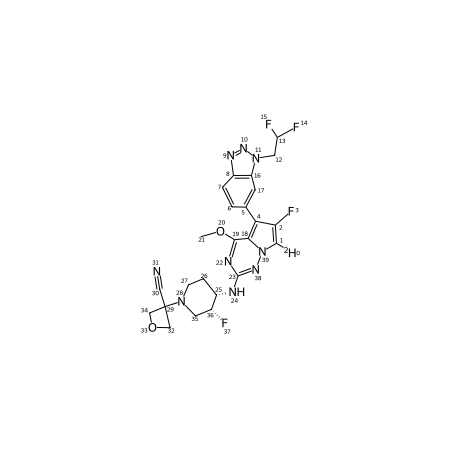 [2H]c1c(F)c(-c2ccc3nnn(CC(F)F)c3c2)c2c(OC)nc(N[C@H]3CCN(C4(C#N)COC4)C[C@H]3F)nn12